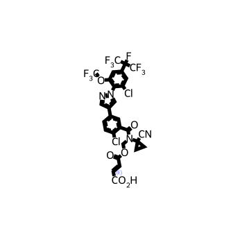 N#CC1(N(COC(=O)/C=C/C(=O)O)C(=O)c2cc(-c3cnn(-c4c(Cl)cc(C(F)(C(F)(F)F)C(F)(F)F)cc4OC(F)(F)F)c3)ccc2Cl)CC1